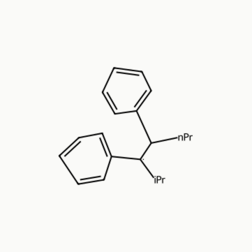 CCCC([C](c1ccccc1)C(C)C)c1ccccc1